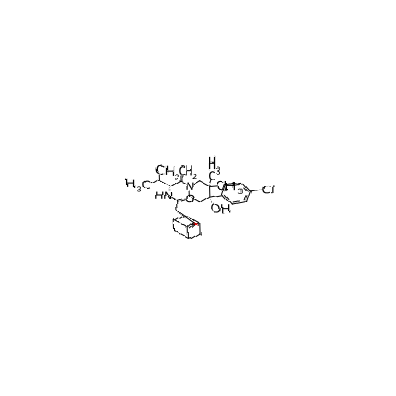 C=C([C@H](NC(=O)CC1=C2C3CC(C1)CC2C3)C(C)C)N1CC[C@](O)(c2ccc(Cl)cc2)C(C)(C)C1